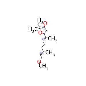 COC/C=C(\C)CC/C=C(\C)C1CC(=O)C(C)(C)O1